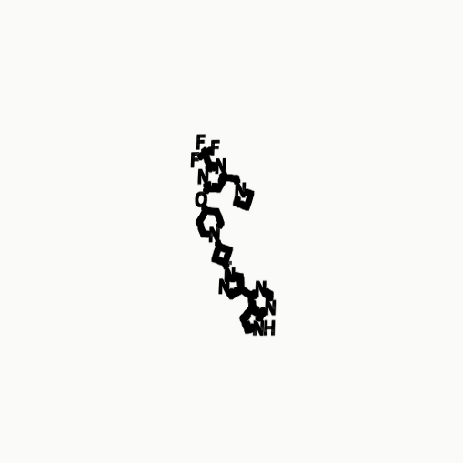 FC(F)(F)c1nc(CN2CCC2)cc(OC2CCN(C3C[C](n4cc(-c5ncnc6[nH]ccc56)cn4)C3)CC2)n1